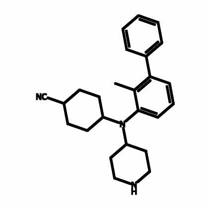 Cc1c(-c2ccccc2)cccc1N(C1CCNCC1)C1CCC(C#N)CC1